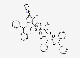 N#C/C=N/N1CCN([C@]2(C(=O)OC(c3ccccc3)c3ccccc3)CN3C(=O)[C@@H](NC(=O)C(C(=O)OC(c4ccccc4)c4ccccc4)c4ccccc4)[C@H]3S2)C1=O